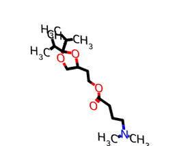 CC(C)C1(C(C)C)OCC(CCOC(=O)CCCN(C)C)O1